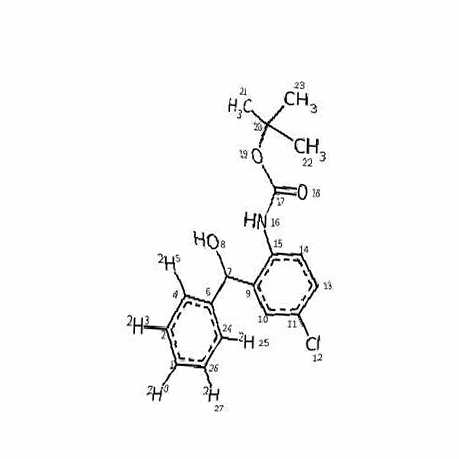 [2H]c1c([2H])c([2H])c(C(O)c2cc(Cl)ccc2NC(=O)OC(C)(C)C)c([2H])c1[2H]